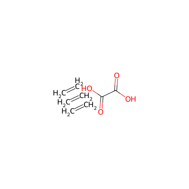 C=C.C=C.C=C.O=C(O)C(=O)O